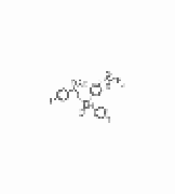 CC(=O)OC(CC[C@H]1C(=O)N(c2ccc(F)cc2)[C@@H]1c1ccc(OS(=O)(=O)C(F)(F)F)cc1)c1ccc(F)cc1